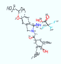 CC(Oc1ccc2c(c1)CN(CC(=O)c1cc(C(C)(C)C)c(O)c(C(C)(C)C)c1)C2=N)C(=O)O.O=C(O)C(F)(F)F